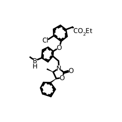 CBc1ccc(Oc2cc(CC(=O)OCC)ccc2Cl)c(CN2C(=O)O[C@@H](c3ccccc3)[C@H]2C)c1